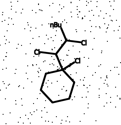 CCCCC(Cl)[C](Cl)C1(Cl)CCCCC1